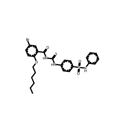 CCCCCCOc1ccc(Br)cc1C(=O)NC(=S)Nc1ccc(S(=O)(=O)Nc2ccccc2)cc1